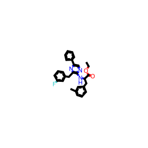 CCOC(=O)C(Cc1cccc(C)c1)Nc1ncc(-c2ccccc2)nc1Cc1cccc(F)c1